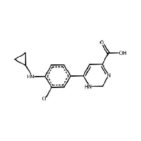 O=C(O)C1=NCNC(c2ccc(NC3CC3)c(Cl)c2)=C1